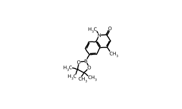 Cc1cc(=O)n(C)c2ccc(B3OC(C)(C)C(C)(C)O3)cc12